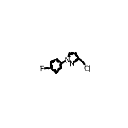 Fc1ccc(-n2ccc(CCl)n2)cc1